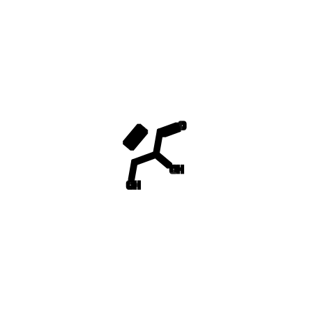 C#C.O=CC(O)CO